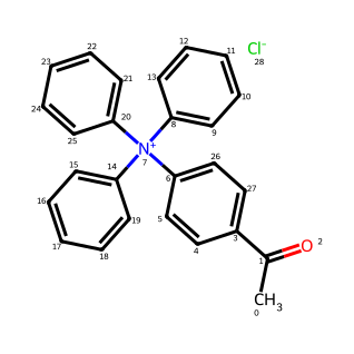 CC(=O)c1ccc([N+](c2ccccc2)(c2ccccc2)c2ccccc2)cc1.[Cl-]